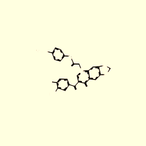 COc1ccc(NC(=O)Cn2cc(C(=O)c3ccc(C)c(C)c3)c(=O)c3cc4c(cc32)OCO4)cc1